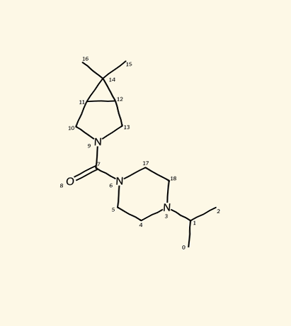 CC(C)N1CCN(C(=O)N2CC3C(C2)C3(C)C)CC1